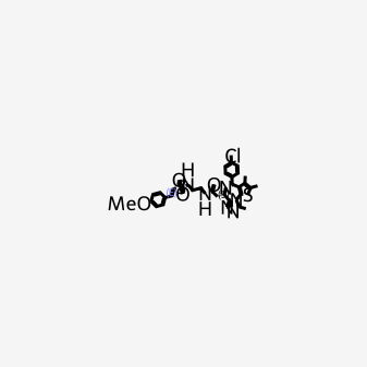 COc1ccc(/C=C/S(=O)(=O)NCCNC(=O)C[C@@H]2N=C(c3ccc(Cl)cc3)c3c(sc(C)c3C)-n3c(C)nnc32)cc1